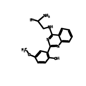 CC(C)C(N)CNc1nc(-c2cc(OC(F)(F)F)ccc2O)nc2ccccc12